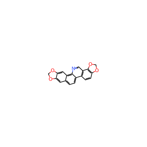 c1cc2c(cnc3c4cc5c(cc4ccc23)OCO5)c2c1OCO2